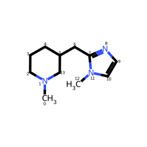 CN1CCCC(Cc2nccn2C)C1